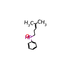 CC(C)=CCC[PH](=O)c1ccccc1